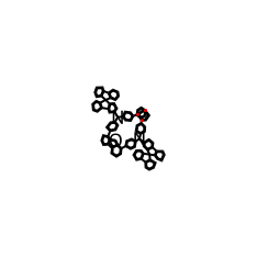 c1ccc(-c2ccc(N(c3ccc(-c4cccc5c4oc4c(-c6ccc(N(c7ccc(-c8ccccc8)cc7)c7ccc8c(c7)C7(c9ccccc9-c9ccccc97)c7ccccc7-8)cc6)cccc45)cc3)c3ccc4c(c3)-c3ccccc3C43c4ccccc4-c4ccccc43)cc2)cc1